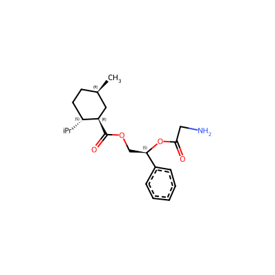 CC(C)[C@@H]1CC[C@@H](C)C[C@H]1C(=O)OC[C@@H](OC(=O)CN)c1ccccc1